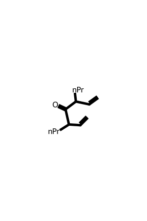 C=CC(CCC)C(=O)C(C=C)CCC